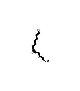 CCC=CCC=CCC1OC1CCCCCCCCCCC